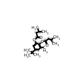 Cc1cc(C(C)(C)C)cc(OC(=O)CC(C)C)c1OC(=O)CC(C)C